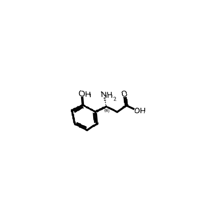 N[C@H](CC(=O)O)c1ccccc1O